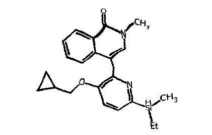 CC[SiH](C)c1ccc(OCC2CC2)c(-c2cn(C)c(=O)c3ccccc23)n1